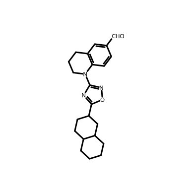 O=Cc1ccc2c(c1)CCCN2c1noc(C2CCC3CCCCC3C2)n1